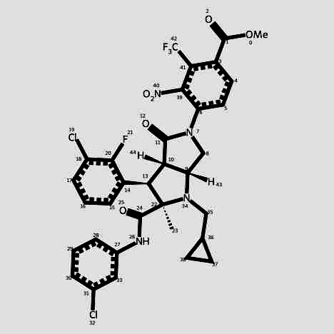 COC(=O)c1ccc(N2C[C@H]3[C@@H](C2=O)[C@H](c2cccc(Cl)c2F)[C@](C)(C(=O)Nc2cccc(Cl)c2)N3CC2CC2)c([N+](=O)[O-])c1C(F)(F)F